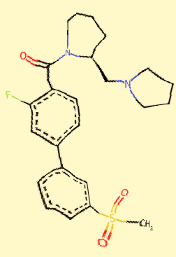 CS(=O)(=O)c1cccc(-c2ccc(C(=O)N3CCC[C@H]3CN3CCCC3)c(F)c2)c1